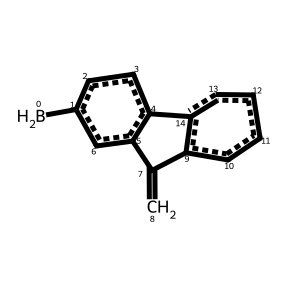 Bc1ccc2c(c1)C(=C)c1ccccc1-2